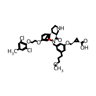 COCCCc1cc(CN(C(=O)[C@@H]2CNCC[C@H]2c2ccc(OCCOc3c(Cl)cc(C)cc3Cl)cc2)C2CC2)cc(OC[C@H]2C[C@@H]2C(=O)O)c1